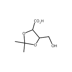 CC1(C)OC(CO)C(C(=O)O)O1